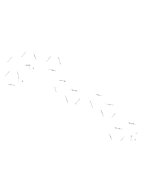 c1cc(-c2ccc3ccc(-c4ccc5ccc(-c6cccc7ncccc67)cc5c4)cc3c2)cc(-c2ccc3ccc4cccnc4c3n2)c1